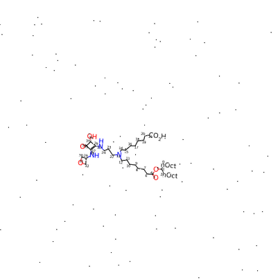 CCCCCCCCC(CCCCCCCC)OC(=O)CCCCCCCN(CCCCCCCC(=O)O)CCCNC1=C(NC2COC2)C(=O)C1O